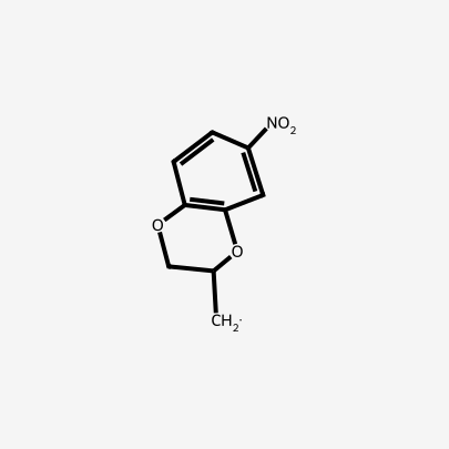 [CH2]C1COc2ccc([N+](=O)[O-])cc2O1